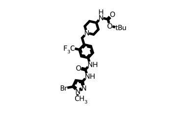 Cn1nc(NC(=O)Nc2ccc(CN3CCC(NC(=O)OC(C)(C)C)CC3)c(C(F)(F)F)c2)cc1Br